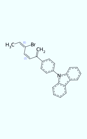 C=C(/C=C\C(Br)=C/C)c1ccc(-n2c3ccccc3c3ccccc32)cc1